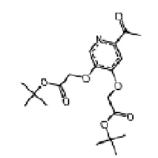 CC(=O)c1cc(OCC(=O)OC(C)(C)C)c(OCC(=O)OC(C)(C)C)cn1